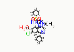 CN1N=C(NS(=O)(=O)c2ccccc2)N2c3ccc(Cl)cc3C(c3ccccc3)=NCC12.O